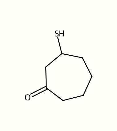 O=C1CCCCC(S)C1